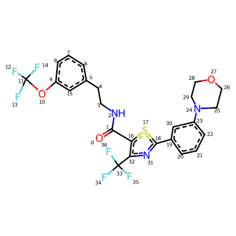 O=C(NCCc1cccc(OC(F)(F)F)c1)c1sc(-c2cccc(N3CCOCC3)c2)nc1C(F)(F)F